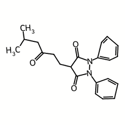 CC(C)CC(=O)CCC1C(=O)N(c2ccccc2)N(c2ccccc2)C1=O